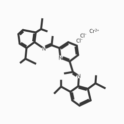 CC(=Nc1c(C(C)C)cccc1C(C)C)c1cccc(C(C)=Nc2c(C(C)C)cccc2C(C)C)n1.[Cl-].[Cl-].[Cr+2]